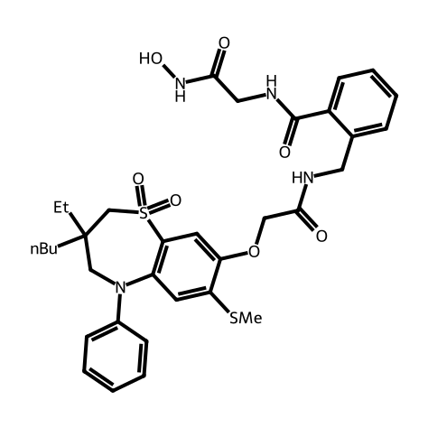 CCCCC1(CC)CN(c2ccccc2)c2cc(SC)c(OCC(=O)NCc3ccccc3C(=O)NCC(=O)NO)cc2S(=O)(=O)C1